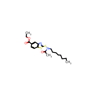 CCCCCCCCN(Sc1nc2cc(C(=O)OCC)ccc2s1)C(C)=O